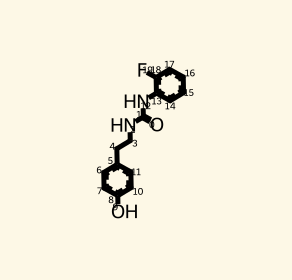 O=C(NCCc1ccc(O)cc1)Nc1ccccc1F